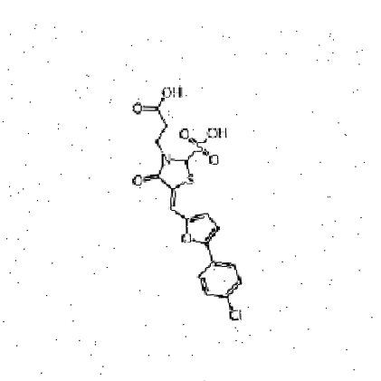 O=C(O)CCN1C(=O)C(=Cc2ccc(-c3ccc(Cl)cc3)o2)SC1S(=O)(=O)O